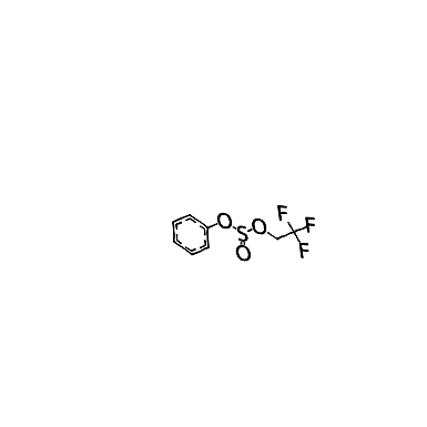 O=S(OCC(F)(F)F)Oc1ccccc1